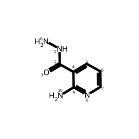 NNC(=O)c1cccnc1N